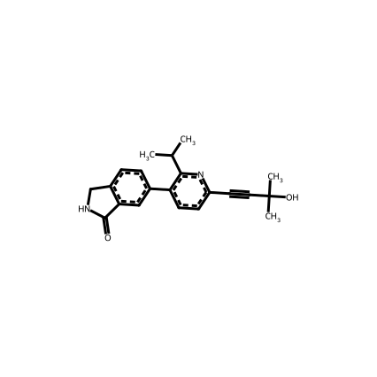 CC(C)c1nc(C#CC(C)(C)O)ccc1-c1ccc2c(c1)C(=O)NC2